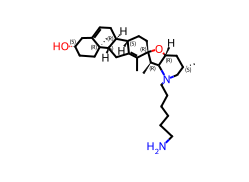 CC1=C2C[C@H]3[C@@H](CC=C4C[C@@H](O)CC[C@@]43C)[C@@H]2CC[C@]12O[C@@H]1C[C@H](C)CN(CCCCCCN)C1[C@H]2C